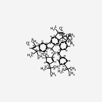 CC1=CC(C)(C)c2cc3c(cc21)-c1cc2c(cc1[CH]3[Zr+2]([C]1=CC(C(C)(C)C)=CC1C)=[C](c1ccc(C(C)(C)C)cc1)c1ccc(C(C)(C)C)cc1)C(C)(C)C=C2C.[Cl-].[Cl-]